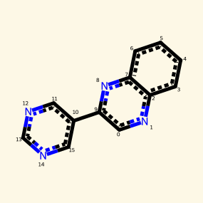 [c]1nc2ccccc2nc1-c1cncnc1